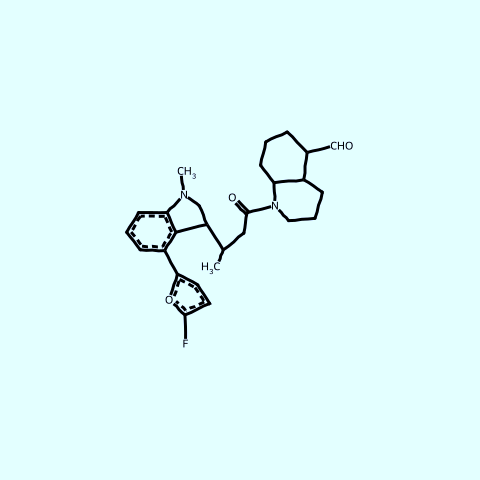 CC(CC(=O)N1CCCC2C(C=O)CCCC21)C1CN(C)c2cccc(-c3ccc(F)o3)c21